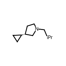 CC(C)CN1CC[C@@H](C2CC2)C1